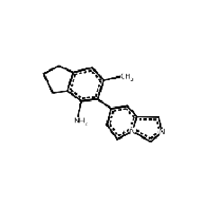 Cc1cc2c(c(N)c1-c1ccn3cncc3c1)CCC2